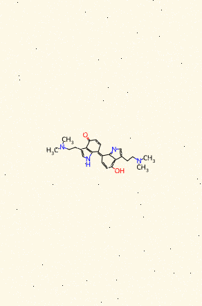 CN(C)CCC1=CN=c2c1c(O)ccc2=C1C=CC(=O)c2c(CCN(C)C)c[nH]c21